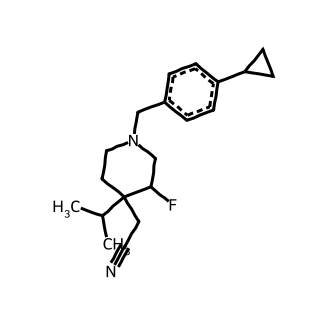 CC(C)C1(CC#N)CCN(Cc2ccc(C3CC3)cc2)CC1F